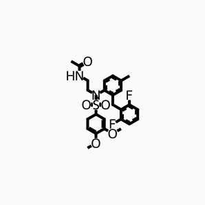 COC1=CCC(S(=O)(=O)N(CCNC(C)=O)c2ccc(C)cc2Cc2c(F)cccc2F)C=C1OC